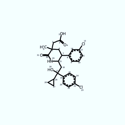 CC1(CC(=O)O)CC(c2cccc(Cl)c2)C(CC(O)(c2ccc(Cl)cc2)C2CC2)NC1=O